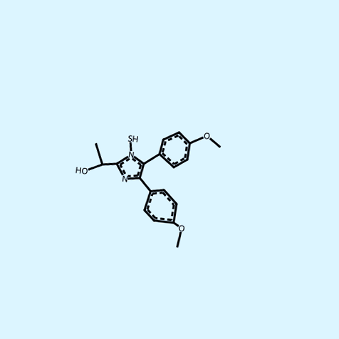 COc1ccc(-c2nc(C(C)O)n(S)c2-c2ccc(OC)cc2)cc1